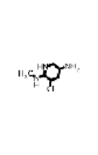 CNC1NCC(N)CC1Cl